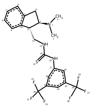 CN(C)[C@@H]1Cc2ccccc2[C@H]1CNC(=S)Nc1cc(C(F)(F)F)cc(C(F)(F)F)c1